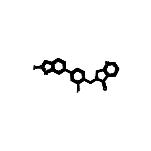 O=C1c2cccnc2CN1Cc1ccc(-c2ccc3cn(I)nc3c2)cc1F